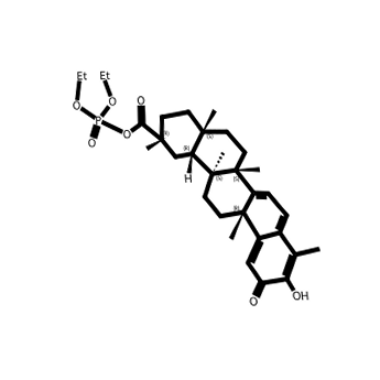 CCOP(=O)(OCC)OC(=O)[C@]1(C)CC[C@]2(C)CC[C@]3(C)C4=CC=C5C(=CC(=O)C(O)=C5C)[C@]4(C)CC[C@@]3(C)[C@@H]2C1